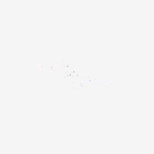 CC(C)NC(=O)NCCNC(=O)[C@@]12CC[C@]3(C)[C@H](CC[C@@H]4[C@@]5(C)CC[C@H](OC(=O)CC(C)(C)C(=O)O)C(C)(C)[C@@H]5CC[C@]43C)C1=C(C(C)C)C(=O)C2